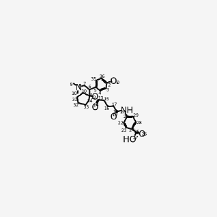 COc1ccc(C(CN(C)C)C2(OC(=O)CCCC(=O)Nc3ccc(C(=O)O)cc3)CCCCC2)cc1